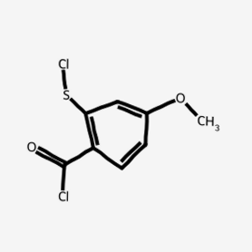 COc1ccc(C(=O)Cl)c(SCl)c1